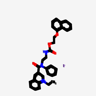 CC[n+]1cc(C(=O)N(CCNC(=O)OCCOc2cccc3ccccc23)c2ccccc2)cc2ccccc21.[I-]